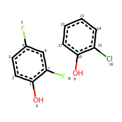 Oc1ccc(F)cc1F.Oc1ccccc1Cl